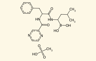 CC(C)CC(NC(=O)C(Cc1ccccc1)NC(=O)c1cnccn1)B(O)O.CS(=O)(=O)O